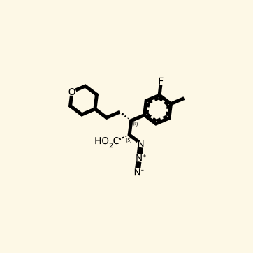 Cc1ccc([C@@H](CCC2CCOCC2)[C@H](N=[N+]=[N-])C(=O)O)cc1F